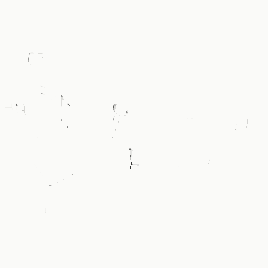 O=C(Nc1ccc(C(F)(F)F)cc1)c1cc(Cl)cc2[nH]c(C(F)(F)F)nc12